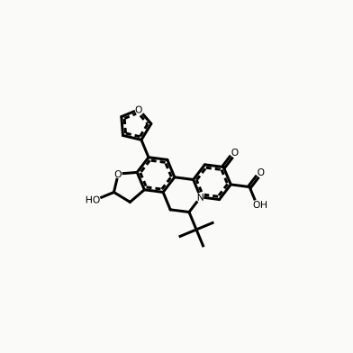 CC(C)(C)C1Cc2c(cc(-c3ccoc3)c3c2CC(O)O3)-c2cc(=O)c(C(=O)O)cn21